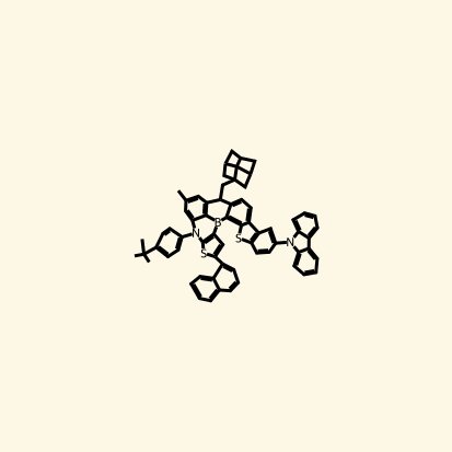 Cc1cc2c3c(c1)N(c1ccc(C(C)(C)C)cc1)c1sc(-c4cccc5ccccc45)cc1B3c1c(ccc3c1sc1ccc(-n4c5ccccc5c5ccccc54)cc13)C2CC12CC3CC4CC(C1)C432